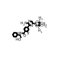 CC1(C)OB(c2cnc(N)c(-c3ccc(C(=O)NC(CO)c4ccccc4)c(F)c3)n2)OC1(C)C